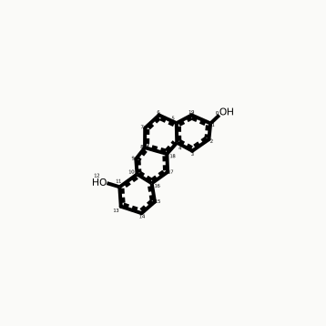 Oc1ccc2c(ccc3cc4c(O)cccc4cc32)c1